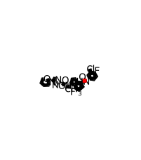 CN(C(=O)Oc1ncn(C2CCCCO2)n1)[C@H]1CCc2c(C(=O)Nc3ccc(F)c(Cl)c3)ccc(F)c21